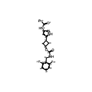 CC(C)C(=O)Nc1cc(C2CC(OC(=O)NCc3c(F)cccc3F)C2)[nH]n1